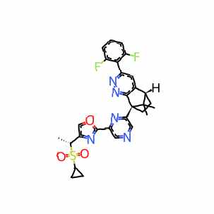 C[C@H](c1coc(-c2cncc([C@@]34CC[C@@H](c5cc(-c6c(F)cccc6F)nnc53)C4(C)C)n2)n1)S(=O)(=O)C1CC1